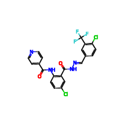 O=C(Nc1ccc(Cl)cc1C(=O)NN=Cc1ccc(Cl)c(C(F)(F)F)c1)c1ccncc1